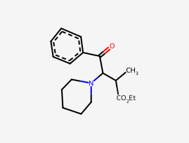 CCOC(=O)C(C)C(C(=O)c1ccccc1)N1CCCCC1